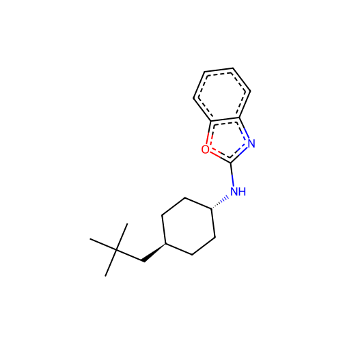 CC(C)(C)C[C@H]1CC[C@H](Nc2nc3ccccc3o2)CC1